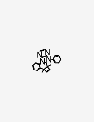 CC12C=CC1(C)C1N(C3=CCCC=C3)c3nccnc3N1c1ccccc12